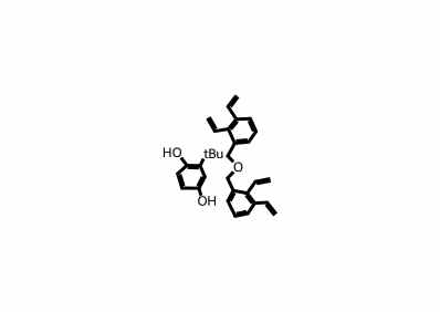 C=Cc1cccc(COCc2cccc(C=C)c2C=C)c1C=C.CC(C)(C)c1cc(O)ccc1O